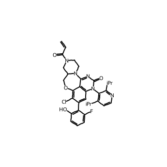 C=CC(=O)N1CCN2c3nc(=O)n(-c4c(C(C)C)ccnc4C(C)C)c4cc(-c5c(O)cccc5F)c(Cl)c(c34)OCC2C1